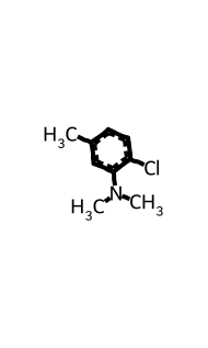 Cc1ccc(Cl)c(N(C)C)c1